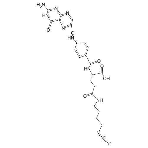 [N-]=[N+]=NCCCCNC(=O)CC[C@H](NC(=O)c1ccc(NCc2cnc3nc(N)[nH]c(=O)c3n2)cc1)C(=O)O